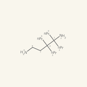 CCCC(N)(CCC)C(CCC)(CCC)CCN